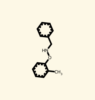 Cc1ccccc1ONCc1ccccc1